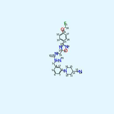 C=NN(Cc1cccc(N2CCC(C#N)CC2)c1)/C(C)=N\Cc1nc(-c2ccc(OCF)cc2)no1